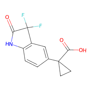 O=C1Nc2ccc(C3(C(=O)O)CC3)cc2C1(F)F